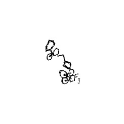 O=C(OCCC1C=C(OS(=O)(=O)C(F)(F)F)C1)c1ccccc1